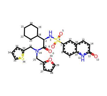 O=C([C@H](NS(=O)(=O)c1ccc2[nH]c(=O)ccc2c1)C1CCCCC1)N(Cc1ccco1)Cc1cccs1